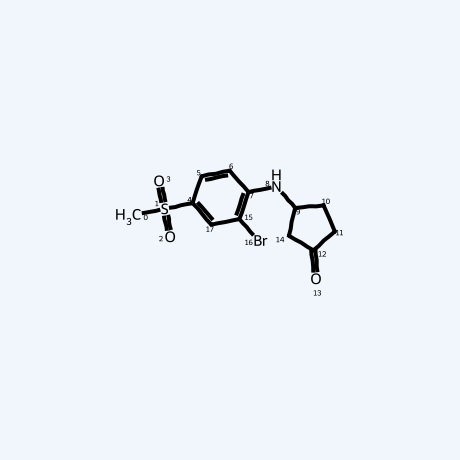 CS(=O)(=O)c1ccc(NC2CCC(=O)C2)c(Br)c1